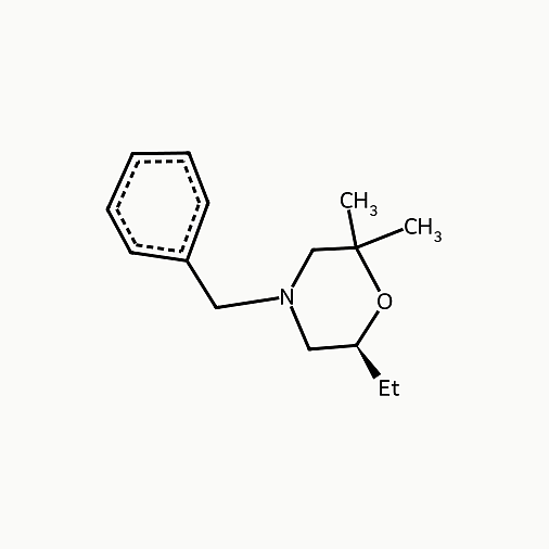 CC[C@H]1CN(Cc2ccccc2)CC(C)(C)O1